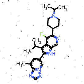 Cc1cc(-c2[nH]c3cnc(C4CCN(C(C)C)CC4)c(F)c3c2C(C)C)cn2ncnc12